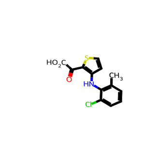 Cc1cccc(Cl)c1Nc1ccsc1C(=O)C(=O)O